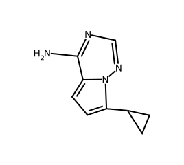 Nc1ncnn2c(C3CC3)ccc12